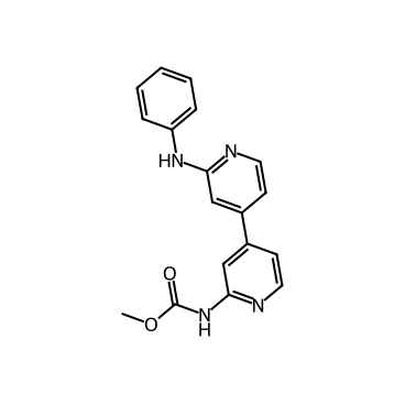 COC(=O)Nc1cc(-c2ccnc(Nc3ccccc3)c2)ccn1